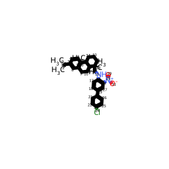 CC(C)c1ccc2c(c1)CC[C@H]1[C@@](C)(CNc3ccc(-c4ccc(Cl)cc4)cc3[N+](=O)[O-])CCC[C@]21C